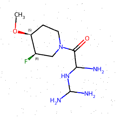 CO[C@H]1CCN(C(=O)C(N)NC(N)N)C[C@H]1F